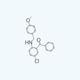 COc1ccc(CNc2ccc(Cl)cc2C(=O)c2ccccc2)cc1